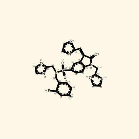 O=C1/C(=C/c2nccs2)c2cc(S(=O)(=O)N(Cc3ncco3)Cc3ccc(F)cc3F)ccc2N1Cc1ncco1